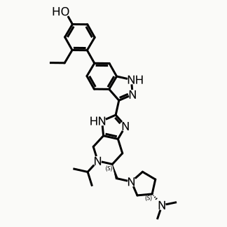 CCc1cc(O)ccc1-c1ccc2c(-c3nc4c([nH]3)CN(C(C)C)[C@H](CN3CC[C@H](N(C)C)C3)C4)n[nH]c2c1